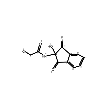 O=C(CCl)NC1(O)C(=O)c2ccccc2C1=O